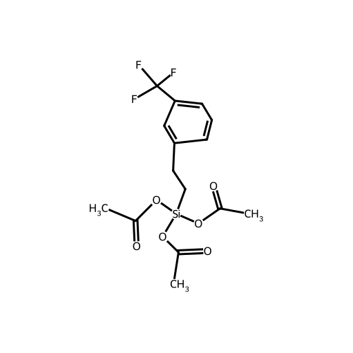 CC(=O)O[Si](CCc1cccc(C(F)(F)F)c1)(OC(C)=O)OC(C)=O